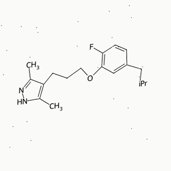 Cc1n[nH]c(C)c1CCCOc1cc(CC(C)C)ccc1F